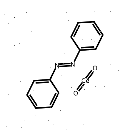 [O]=[Ge]=[O].c1ccc(N=Nc2ccccc2)cc1